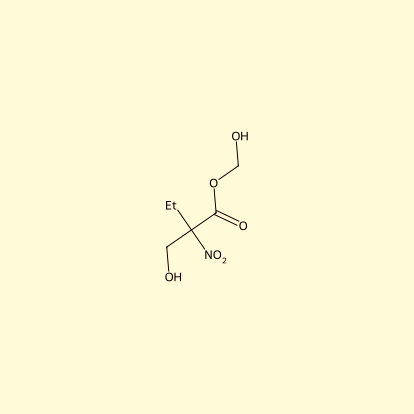 CCC(CO)(C(=O)OCO)[N+](=O)[O-]